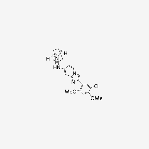 COc1cc(OC)c(-c2cn3ccc(NC4C[C@H]5CC[C@@H](C4)N5)cc3n2)cc1Cl